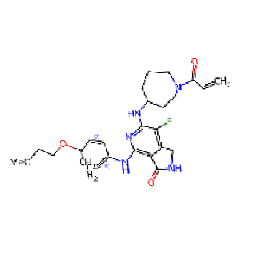 C=CC(=O)N1CCCC(Nc2nc(NC(/C=C\C(=C)OCCOC)=C/C)c3c(c2F)CNC3=O)CC1